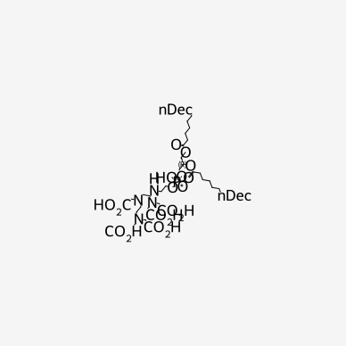 CCCCCCCCCCCCCCCC(=O)OC[C@H](COP(=O)(O)OCCNC(CN(CCN(CC(=O)O)CC(=O)O)CC(=O)O)N(CC(=O)O)CC(=O)O)OC(=O)CCCCCCCCCCCCCCC